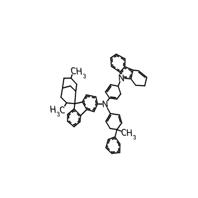 CC1CC2CC(C)C3(c4ccccc4-c4cc(N(C5=CCC(n6c7c(c8ccccc86)C=CCC7)C=C5)C5=CCC(C)(c6ccccc6)C=C5)ccc43)C(C1)C2